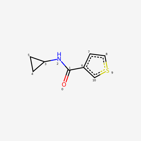 O=C(NC1CC1)c1ccsc1